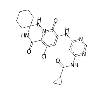 O=C1NC2(CCCCC2)Nn2c1c(Cl)cc(Nc1cc(NC(=O)C3CC3)ncn1)c2=O